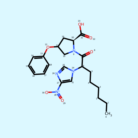 CCCCCCC(C(=O)N1CC(Oc2ccccc2)C[C@H]1C(=O)O)n1cnc([N+](=O)[O-])c1